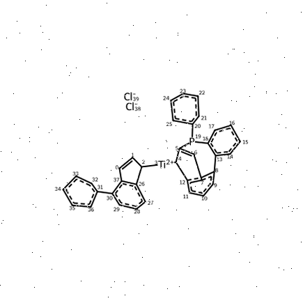 C1=C[CH]([Ti+2][CH]2C3=Cc4c(cccc42)-c2ccccc2P3c2ccccc2)c2cccc(-c3ccccc3)c21.[Cl-].[Cl-]